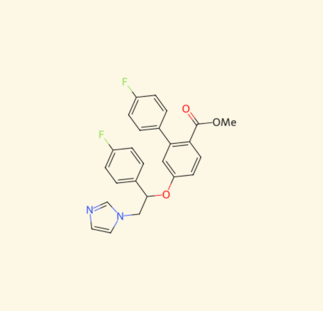 COC(=O)c1ccc(OC(Cn2ccnc2)c2ccc(F)cc2)cc1-c1ccc(F)cc1